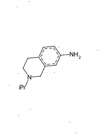 CC(C)N1CCc2ccc(N)cc2C1